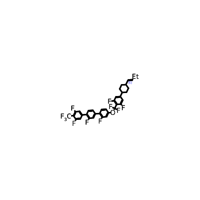 CC/C=C/C1CCC(c2cc(F)c(C(F)(F)Oc3ccc(-c4ccc(-c5cc(F)c(C(F)(F)F)c(F)c5)c(F)c4)c(F)c3)c(F)c2)CC1